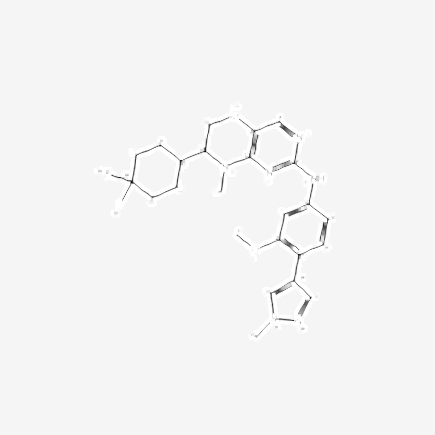 COc1cc(Nc2ncc3c(n2)N(C)C(C2CCC(F)(F)CC2)CO3)ccc1-c1cnn(C)c1